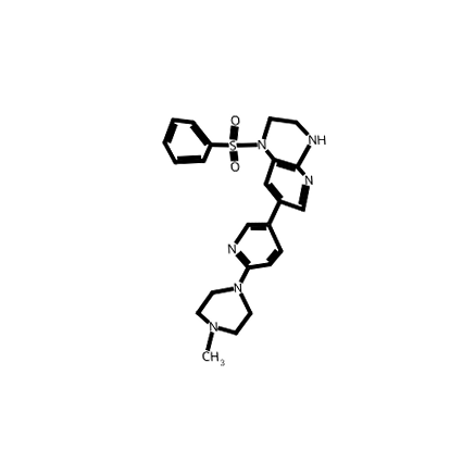 CN1CCN(c2ccc(-c3cnc4c(c3)N(S(=O)(=O)c3ccccc3)CCN4)cn2)CC1